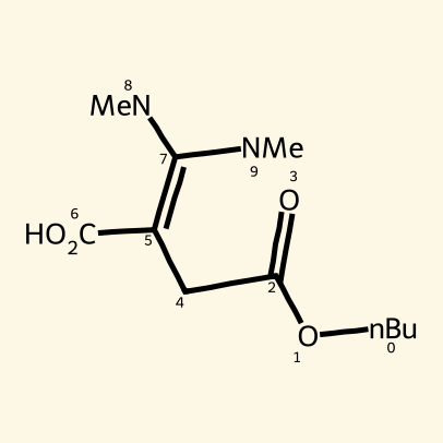 CCCCOC(=O)CC(C(=O)O)=C(NC)NC